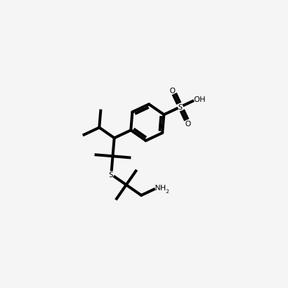 CC(C)C(c1ccc(S(=O)(=O)O)cc1)C(C)(C)SC(C)(C)CN